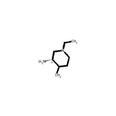 CCN1CCC(C)[C@H](N)C1